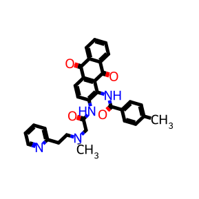 Cc1ccc(C(=O)Nc2c(NC(=O)CN(C)CCc3ccccn3)ccc3c2C(=O)c2ccccc2C3=O)cc1